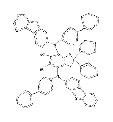 N#Cc1c(C#N)c(N(c2ccc(-c3ccccc3)cc2)c2ccc3c(c2)oc2ccccc23)c2c(c1N(c1ccc(-c3ccccc3)cc1)c1ccc3c(c1)oc1ccccc13)OC(c1ccccc1)(c1ccccc1)O2